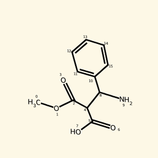 COC(=O)C(C(=O)O)C(N)c1ccccc1